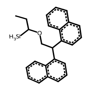 CCC([SiH3])OCC(c1cccc2ccccc12)c1cccc2ccccc12